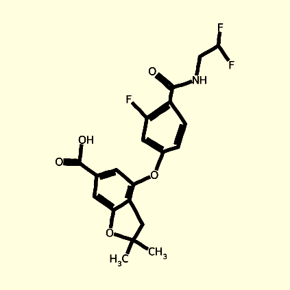 CC1(C)Cc2c(Oc3ccc(C(=O)NCC(F)F)c(F)c3)cc(C(=O)O)cc2O1